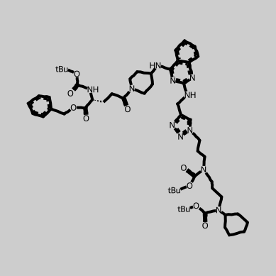 CC(C)(C)OC(=O)N[C@H](CCC(=O)N1CCC(Nc2nc(NCc3cn(CCCN(CCCN(C(=O)OC(C)(C)C)C4CCCCC4)C(=O)OC(C)(C)C)nn3)nc3ccccc23)CC1)C(=O)OCc1ccccc1